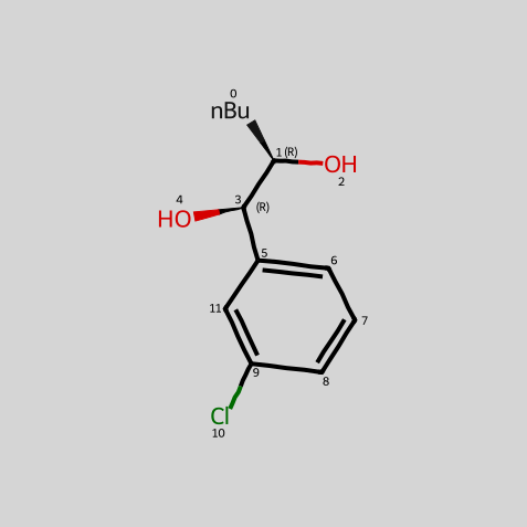 CCCC[C@@H](O)[C@H](O)c1cccc(Cl)c1